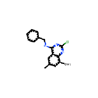 COc1cc(C)cc2c(NCc3ccccc3)nc(Cl)nc12